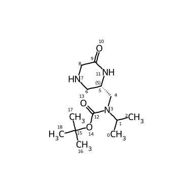 CC(C)N(C[C@@H]1CNCC(=O)N1)C(=O)OC(C)(C)C